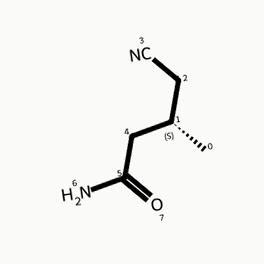 C[C@@H]([CH]C#N)CC(N)=O